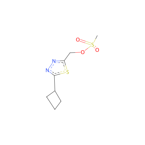 CS(=O)(=O)OCc1nnc(C2CCC2)s1